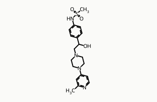 Cc1cc(N2CCN(CC(O)c3ccc(NS(C)(=O)=O)cc3)CC2)ccn1